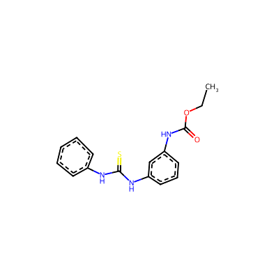 CCOC(=O)Nc1cccc(NC(=S)Nc2ccccc2)c1